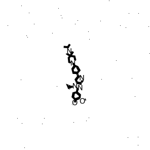 COc1ccc(-c2nc3cnc(-c4ccc(N5CCC6(CC5)CN(C(C)C)C6)cc4)cc3n2C2CC2)cc1OC